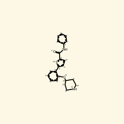 O=C(Nc1ccccc1)c1ccc(-c2ccccc2OC2CCNCC2)s1